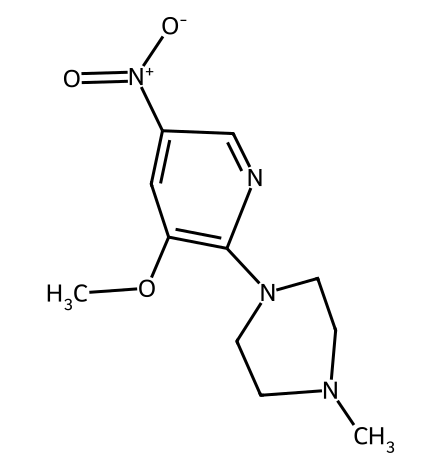 COc1cc([N+](=O)[O-])cnc1N1CCN(C)CC1